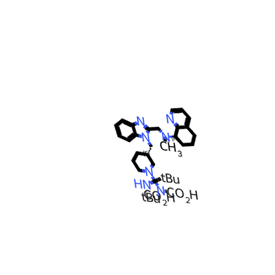 CN(Cc1nc2ccccc2n1C[C@H]1CCCN(C(NC(=O)O)(N(C(=O)O)C(C)(C)C)C(C)(C)C)C1)[C@@H]1CCCc2cccnc21